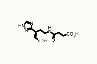 CCCCCCCCCCC=C(CCNC(=O)CCC(=O)O)c1nc[nH]n1